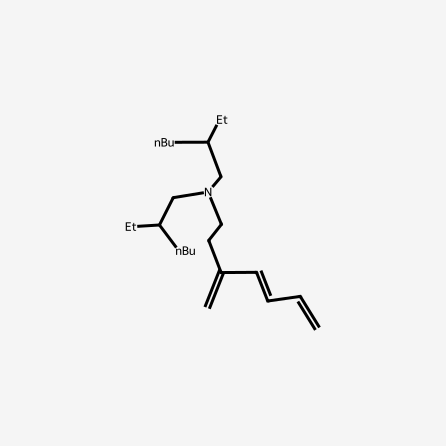 C=CC=CC(=C)CCN(CC(CC)CCCC)CC(CC)CCCC